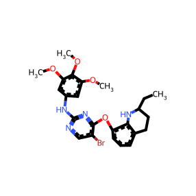 CCC1CCc2cccc(Oc3nc(Nc4cc(OC)c(OC)c(OC)c4)ncc3Br)c2N1